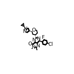 Cc1nc2c(-c3ccc(Cl)cc3F)nc([C@H]3CCO[C@H](c4cnn(C5CC5)c4)C3)nc2c(=O)n1C